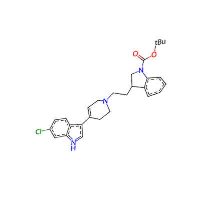 CC(C)(C)OC(=O)N1CC(CCN2CC=C(c3c[nH]c4cc(Cl)ccc34)CC2)c2ccccc21